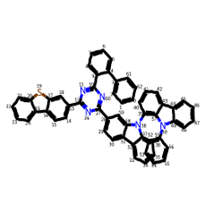 c1ccc(-c2ccccc2-c2nc(-c3ccc4c(c3)sc3ccccc34)nc(-c3ccc4c5ccccc5n(-c5cccc6c7ccccc7n(-c7ccccc7)c56)c4c3)n2)cc1